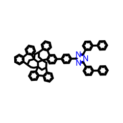 c1ccc(-c2cccc(-c3nc(-c4ccc(-c5ccc6c(c5)-c5ccccc5C5CC78CC(CCC9%10CC(CC6(C5)C97)c5ccccc5-c5ccccc5%10)c5ccccc5-c5ccccc58)cc4)nc(-c4cccc(-c5ccccc5)c4)n3)c2)cc1